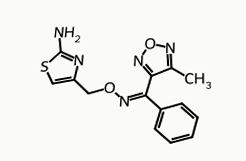 Cc1nonc1C(=NOCc1csc(N)n1)c1ccccc1